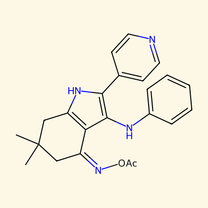 CC(=O)O/N=C1/CC(C)(C)Cc2[nH]c(-c3ccncc3)c(Nc3ccccc3)c21